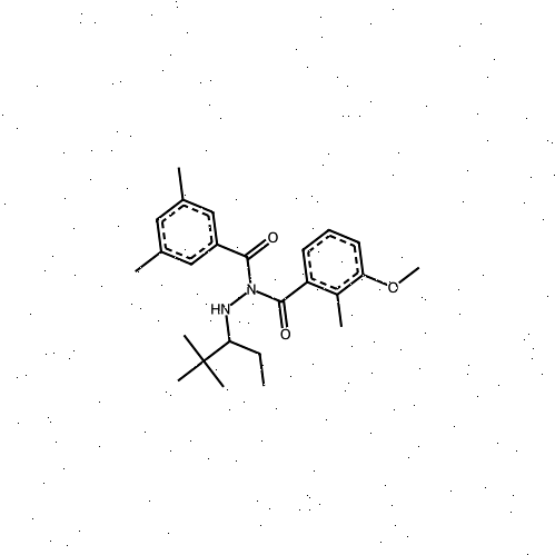 CCC(NN(C(=O)c1cc(C)cc(C)c1)C(=O)c1cccc(OC)c1C)C(C)(C)C